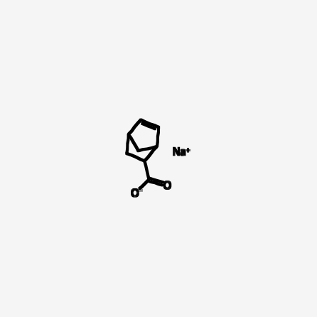 O=C([O-])C1CC2C=CC1C2.[Na+]